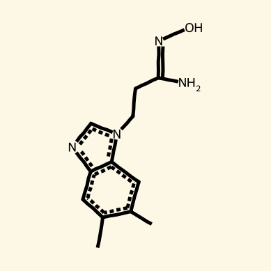 Cc1cc2ncn(CC/C(N)=N/O)c2cc1C